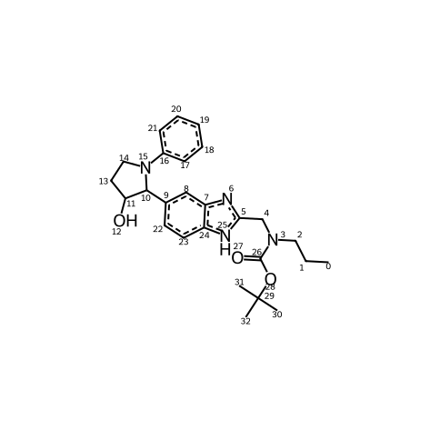 CCCN(Cc1nc2cc(C3C(O)CCN3c3ccccc3)ccc2[nH]1)C(=O)OC(C)(C)C